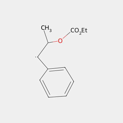 CCOC(=O)OC(C)[CH]c1ccccc1